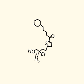 CCC(N)(CO)CCc1ccc(C(=O)CCCCC2CCCCC2)s1